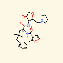 Cc1occc1C(=O)N[C@@H](CC(C)(C)Cc1ccccc1)C(=O)NC1C(=O)COC1CN1CCCC1